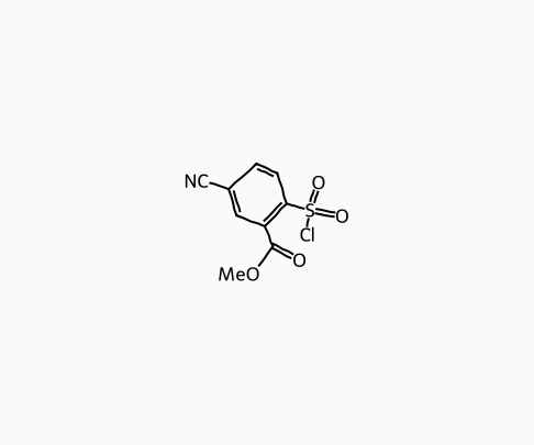 COC(=O)c1cc(C#N)ccc1S(=O)(=O)Cl